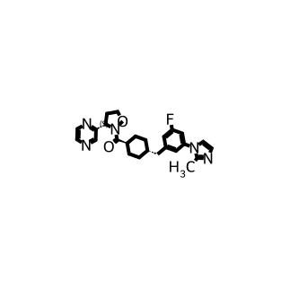 Cc1nccn1-c1cc(F)cc(C[C@H]2CC[C@H](C(=O)N3OCC[C@H]3c3cnccn3)CC2)c1